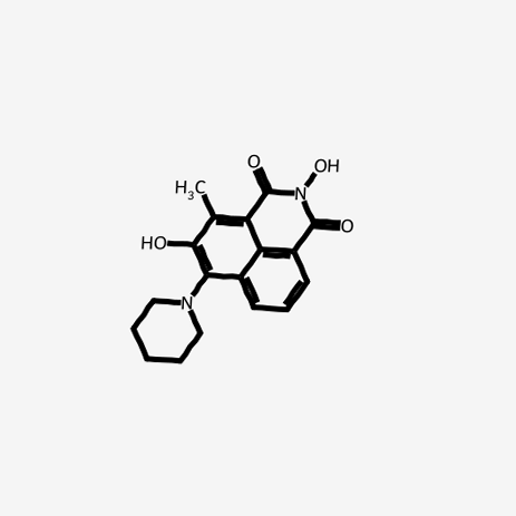 Cc1c(O)c(N2CCCCC2)c2cccc3c2c1C(=O)N(O)C3=O